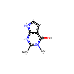 CCCn1c(SC)nc2[nH]ccc2c1=O